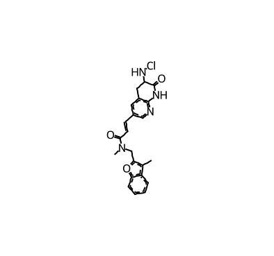 Cc1c(CN(C)C(=O)/C=C/c2cnc3c(c2)CC(NCl)C(=O)N3)oc2ccccc12